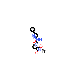 CC(C)N1C(=O)C2=C(C1=O)N(CC(=O)Nc1ccc(-c3ccccc3)nn1)CCC2